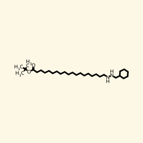 CC(C)(C)OC(=O)CCCCCCCCCCCCCCCCCCNNCC1CCCCC1